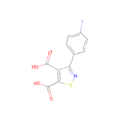 O=C(O)c1snc(-c2ccc(I)cc2)c1C(=O)O